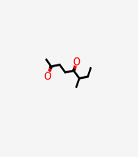 CCC(C)C(=O)CCC(C)=O